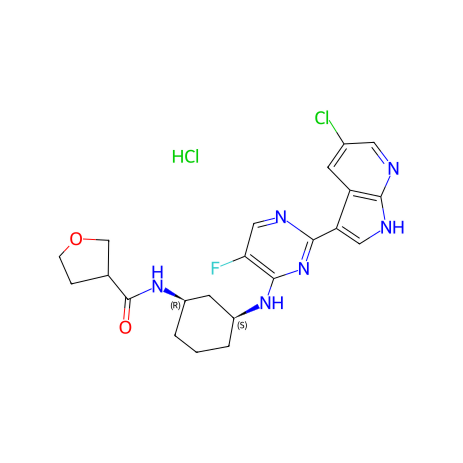 Cl.O=C(N[C@@H]1CCC[C@H](Nc2nc(-c3c[nH]c4ncc(Cl)cc34)ncc2F)C1)C1CCOC1